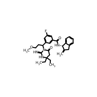 C=C1Cc2ccccc2[C@H]1NC(=O)c1cc(F)cc(C(CCOC)N2C(=N)NC(CC)(CC)CC2=O)c1